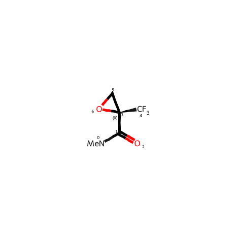 CNC(=O)[C@@]1(C(F)(F)F)CO1